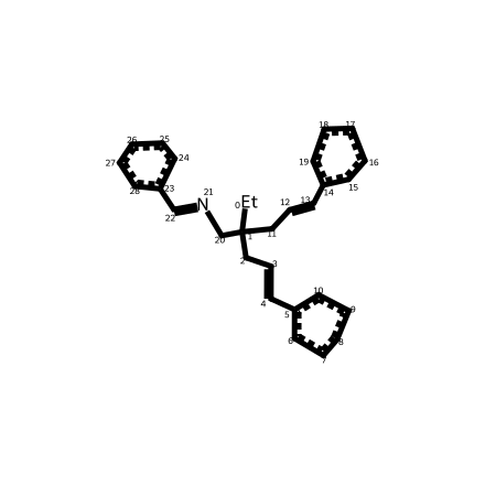 CCC(CC=Cc1ccccc1)(CC=Cc1ccccc1)CN=Cc1ccccc1